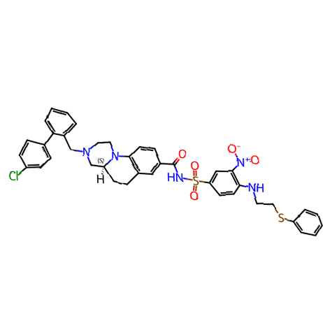 O=C(NS(=O)(=O)c1ccc(NCCSc2ccccc2)c([N+](=O)[O-])c1)c1ccc2c(c1)CC[C@H]1CN(Cc3ccccc3-c3ccc(Cl)cc3)CCN21